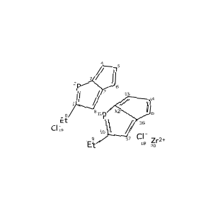 CCC1=PC2=CC=CC2=C1.CCC1=PC2=CC=CC2=C1.[Cl-].[Cl-].[Zr+2]